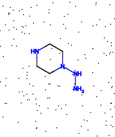 NNN1CCNCC1